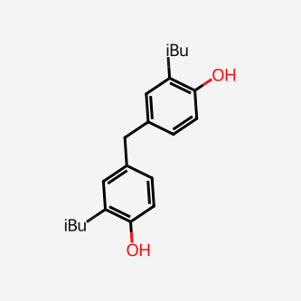 CCC(C)c1cc(Cc2ccc(O)c(C(C)CC)c2)ccc1O